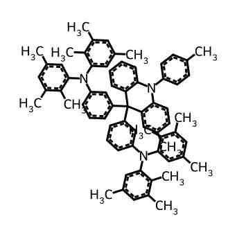 Cc1ccc(N2c3ccccc3C(c3cccc(N(c4cc(C)cc(C)c4C)c4cc(C)cc(C)c4C)c3)(c3cccc(N(c4cc(C)cc(C)c4C)c4cc(C)cc(C)c4C)c3)c3cc(C)ccc32)cc1